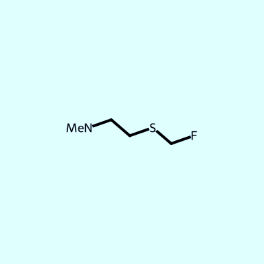 CNCCSCF